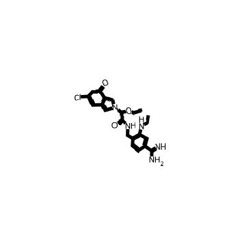 CCNc1cc(C(=N)N)ccc1CNC(=O)C(OCC)N1C=C2C=C(Cl)CC(=O)C2C1